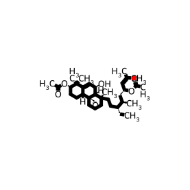 CC[C@H](CC[C@]1(C)CCC[C@@]2(C=O)[C@@H]3CC[C@H](OC(C)=O)C(C)(C)C3=C[C@H](O)[C@@H]12)[C@H](C)C[C@H](C=C(C)C)OC(C)=O